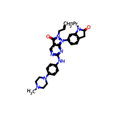 C=CCn1c(=O)c2cnc(Nc3ccc(N4CCN(C)CC4)cc3)nc2n1-c1ccc2c(c1)N(CCC)C(=O)C2